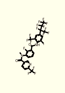 CN(C(=O)c1ccc(C(F)(F)F)nc1)c1cccc(C(=O)Nc2c(I)cc(C(F)(C(F)(F)F)C(F)(F)C(F)(F)F)cc2C(F)(F)F)c1F